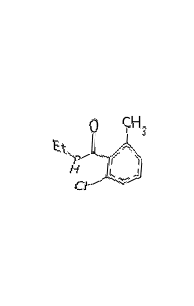 CCPC(=O)c1c(C)cccc1Cl